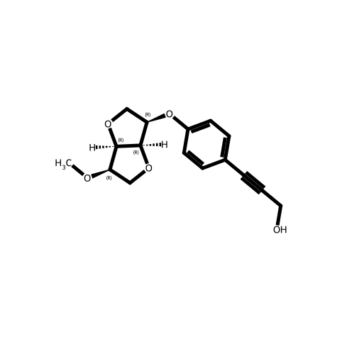 CO[C@@H]1CO[C@H]2[C@@H]1OC[C@H]2Oc1ccc(C#CCO)cc1